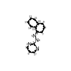 c1cnc(/N=N/c2cccc3ccccc23)nc1